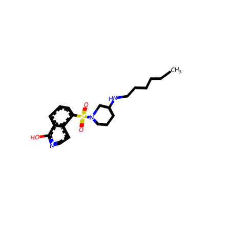 CCCCCCNC1CCCN(S(=O)(=O)c2cccc3c(O)nccc23)C1